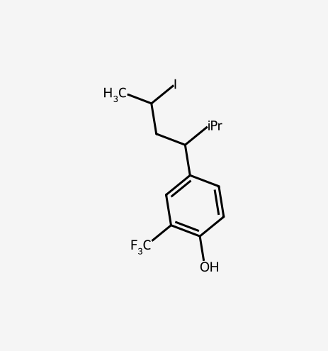 CC(I)CC(c1ccc(O)c(C(F)(F)F)c1)C(C)C